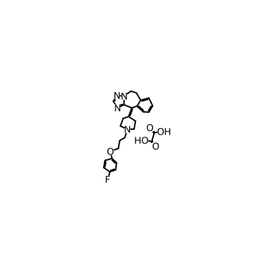 Fc1ccc(OCCCN2CCC(=C3c4ccccc4CCn4ncnc43)CC2)cc1.O=C(O)C(=O)O